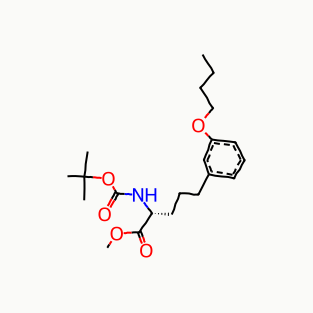 CCCCOc1cccc(CCC[C@@H](NC(=O)OC(C)(C)C)C(=O)OC)c1